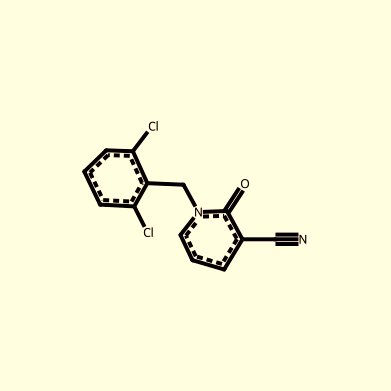 N#Cc1cccn(Cc2c(Cl)cccc2Cl)c1=O